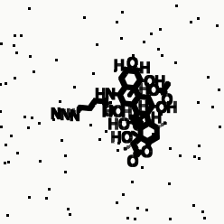 CC(=O)O[C@H]1[C@H]2[C@@H]([C@@H](O)[C@@H](NC(=O)CCCN=[N+]=[N-])C3C[C@@H]4O[C@@H]4[C@H](O)[C@@]32C)[C@@H]2[C@@H](O)C3[C@H]([C@H](C)C=C4OC(=O)[C@@](C)(O)[C@@]43C)[C@@]2(C(C)=O)[C@H]1O